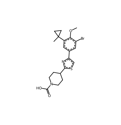 COc1c(Br)cc(-c2csc(C3CCN(C(=O)O)CC3)n2)cc1C1(C)CC1